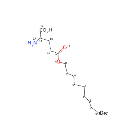 CCCCCCCCCCCCCCCCCCOC(=O)CCC(N)C(=O)O